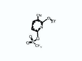 CCOc1nc(OS(=O)(=O)C(F)(F)F)ccc1C#N